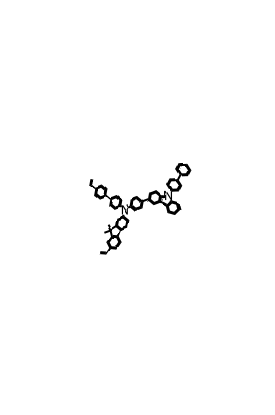 C=Cc1ccc(-c2ccc(N(c3ccc(-c4ccc5c(c4)c4ccccc4n5-c4ccc(-c5ccccc5)cc4)cc3)c3ccc4c(c3)C(C)(C)c3cc(C=C)ccc3-4)cc2)cc1